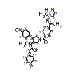 C=C(/N=C(C)\C=C/N)N1CCC(C(=O)N2C[C@@H](N(C)C(=O)Oc3ccc(F)cc3)[C@H](c3ccc(Cl)cc3)C2)CC1